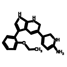 CCOc1ccccc1-c1c[nH]c2c1C=C(C1=CC=C(N)NC1)CN2